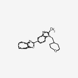 Cc1nc2cc(-c3nc4ccccc4o3)ccc2n1CC1CCOCC1